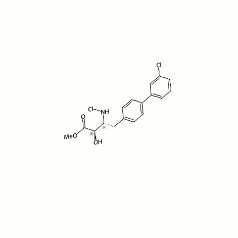 COC(=O)[C@H](O)[C@@H](Cc1ccc(-c2cccc(Cl)c2)cc1)NCl